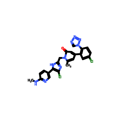 CNc1ccc(-c2[nH]c(Cn3c(C)cc(-c4cc(Cl)ccc4-n4cnnn4)cc3=O)nc2Cl)cn1